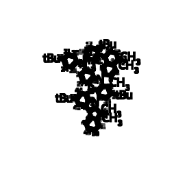 Cc1cc2c(cc1N1c3cc(N(c4ccc(C(C)(C)C)cc4)c4ccc(C(C)(C)C)cc4)ccc3B3c4c1cc(C(C)(C)C)cc4-n1c4c(c5cc(C(C)(C)C)cc3c51)-c1ccccc1C4(C)C)C(C)(C)CCC2(C)C